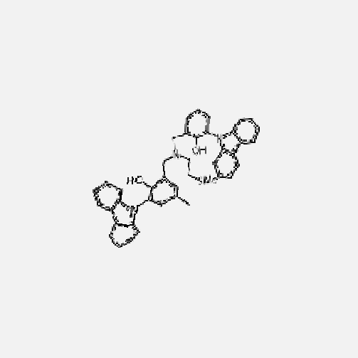 CSCCN(Cc1cccc(-n2c3ccccc3c3ccccc32)c1O)Cc1cc(C)cc(-n2c3ccccc3c3ccccc32)c1O